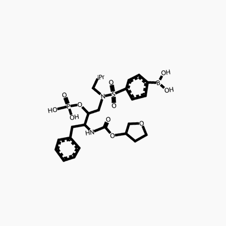 CC(C)CN(CC(OP(=O)(O)O)C(Cc1ccccc1)NC(=O)OC1CCOC1)S(=O)(=O)c1ccc(B(O)O)cc1